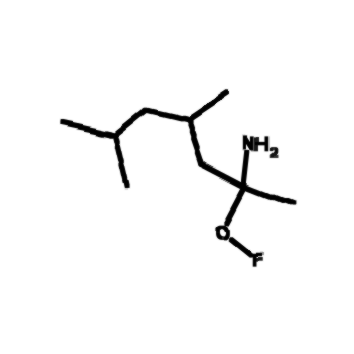 CC(C)CC(C)CC(C)(N)OF